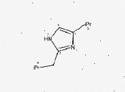 CC(C)Cc1nc(C(C)C)c[nH]1